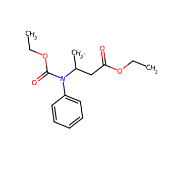 [CH2]C(CC(=O)OCC)N(C(=O)OCC)c1ccccc1